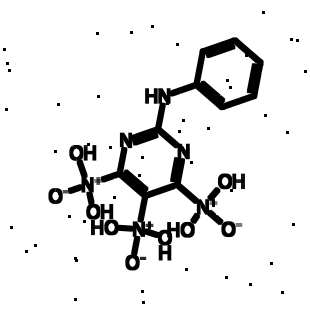 [O-][N+](O)(O)c1nc(Nc2ccccc2)nc([N+]([O-])(O)O)c1[N+]([O-])(O)O